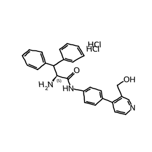 Cl.Cl.N[C@H](C(=O)Nc1ccc(-c2ccncc2CO)cc1)C(c1ccccc1)c1ccccc1